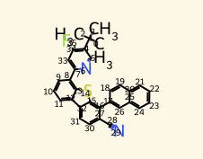 CC(C)(C)c1cnc(-c2cccc3c2sc2c(-c4ccc5ccccc5c4)c(C#N)ccc23)cc1F